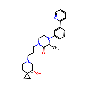 CC1C(=O)N(CCCN2CCC3(CC3)[C@H](O)C2)CCN1c1cccc(-c2ccccn2)c1